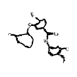 O=C1CCCCC(Sc2cc(C(=O)Nc3ccc(F)c(Cl)c3)ccc2F)C1